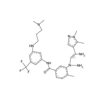 Cc1ccc(C(=O)Nc2cc(NCCCN(C)C)cc(C(F)(F)F)c2)cc1N(N)/C=C(\N)c1cnn(C)c1C